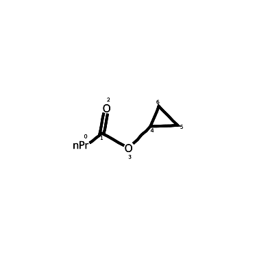 CCCC(=O)OC1CC1